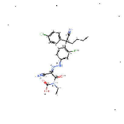 CCCCC(C#N)(c1ccc(Cl)cc1)c1ccc(NN=C(C#N)C(=O)N(CC)C(=O)O)cc1Cl